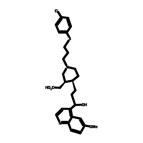 COc1ccc2nccc(C(O)CC[C@@H]3CCN(CCCSc4ccc(Cl)cc4)C[C@@H]3CC(=O)O)c2c1